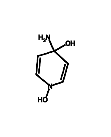 NC1(O)C=CN(O)C=C1